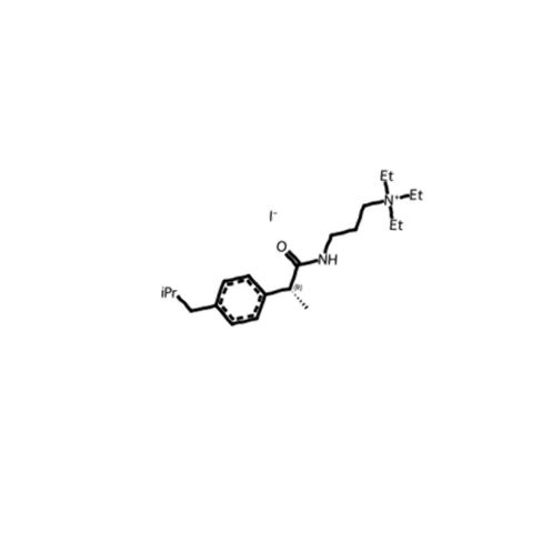 CC[N+](CC)(CC)CCCNC(=O)[C@H](C)c1ccc(CC(C)C)cc1.[I-]